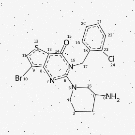 NC1CCCN(c2nc3c(Br)csc3c(=O)n2Cc2ccccc2Cl)C1